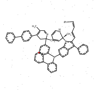 CC1=C(c2ccc(-c3ccccc3)cc2)CC(C)(c2cccc(N(c3ccc4c(-c5ccccc5)c(/C=C/C=C\C(C)C)n([C@]5(C)C=CC=CN5)c4c3)c3ccccc3-c3ccccc3)c2)N=C1